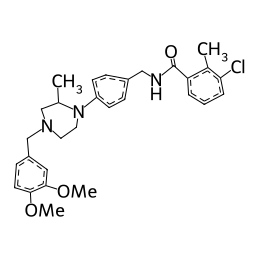 COc1ccc(CN2CCN(c3ccc(CNC(=O)c4cccc(Cl)c4C)cc3)C(C)C2)cc1OC